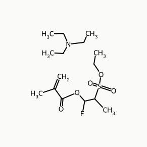 C=C(C)C(=O)OC(F)C(C)S(=O)(=O)OCC.CCN(CC)CC